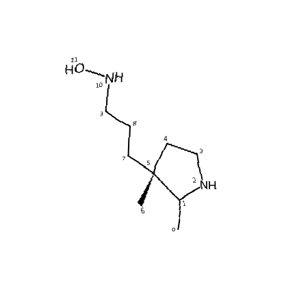 CC1NCC[C@@]1(C)CCCNO